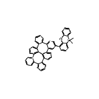 C[Si]1(C)c2ccccc2Oc2c(-c3ccc4c(c3)c3cccc5c3-c3c(cccc3c3ccccc34)c3ccccc3c3ccccc53)cccc21